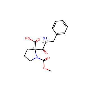 COC(=O)N1CCC[C@]1(C(=O)O)C(=O)[C@H](N)Cc1ccccc1